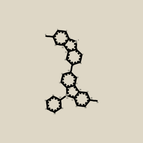 Cc1ccc2sc3ccc(-c4ccc5c(c4)c4cc(C)ccc4n5-c4ccccc4)cc3c2c1